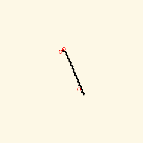 CCCCC(=O)CCCCCCCCCCCCCCCCCCCCCC1OC1=O